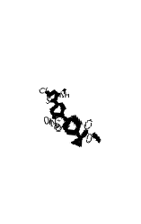 CCOC(=O)C1(c2ccc(-c3ccc(-c4sc(Cl)cc4NC)cc3[N+](=O)[O-])cc2)CC1